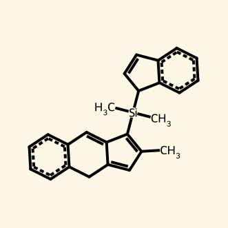 CC1=C([Si](C)(C)C2C=Cc3ccccc32)C2=Cc3ccccc3CC2=C1